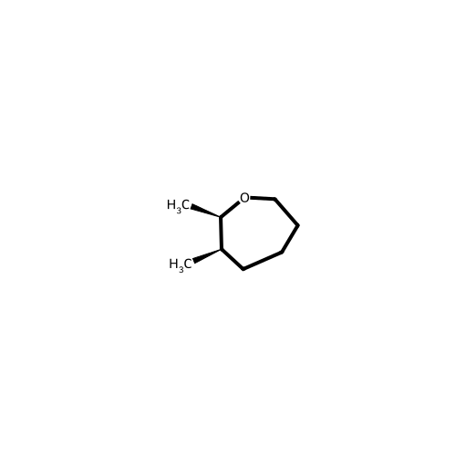 C[C@@H]1CCCCO[C@@H]1C